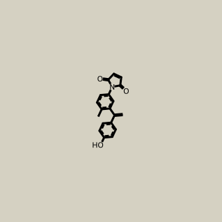 C=C(c1ccc(O)cc1)c1cc(N2C(=O)C=CC2=O)ccc1C